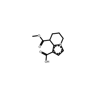 COC(=O)C1CCCn2ccc(C(=O)O)c21